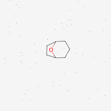 C1CC2CCC(C1)O2